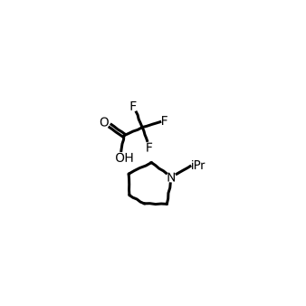 CC(C)N1CCCCC1.O=C(O)C(F)(F)F